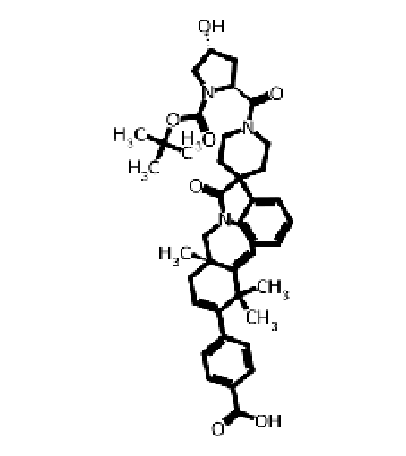 CC(C)(C)OC(=O)N1C[C@H](O)C[C@H]1C(=O)N1CCC(C(=O)N2CC=C3C(C)(C)C(c4ccc(C(=O)O)cc4)=CC[C@]3(C)C2)(c2ccccc2)CC1